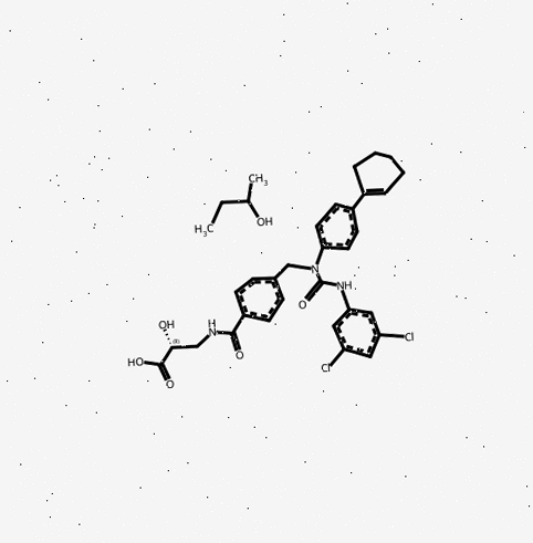 CCC(C)O.O=C(NC[C@@H](O)C(=O)O)c1ccc(CN(C(=O)Nc2cc(Cl)cc(Cl)c2)c2ccc(C3=CCCCC3)cc2)cc1